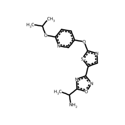 CC(C)Oc1ccc(Oc2ncc(-c3noc(C(C)N)n3)s2)cn1